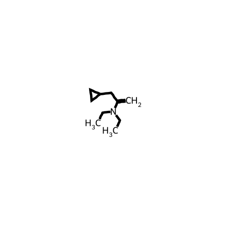 C=C(CC1CC1)N(CC)CC